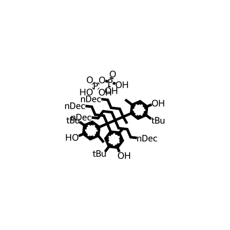 CCCCCCCCCCCCCC(C)(c1cc(C(C)(C)C)c(O)cc1C)C(CCCCCCCCCCCCC)(CCCCCCCCCCCCC)C(CCCCCCCCCCCCC)(c1cc(C(C)(C)C)c(O)cc1C)c1cc(C(C)(C)C)c(O)cc1C.O=P(O)(O)OP(=O)(O)O